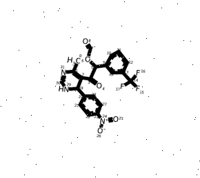 CC1=C(C(=O)C(OC=O)c2cccc(C(F)(F)F)c2)C(c2ccc([N+](=O)[O-])cc2)NC=N1